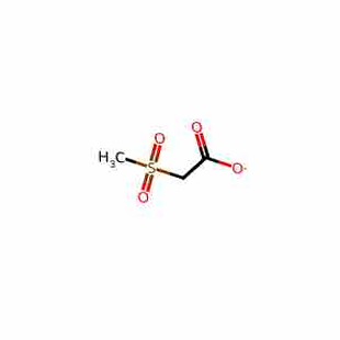 CS(=O)(=O)CC([O])=O